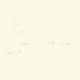 COc1ccc2cc(C[C@H](NCC(=O)OC(C)(C)C)C(=O)O)ccc2n1